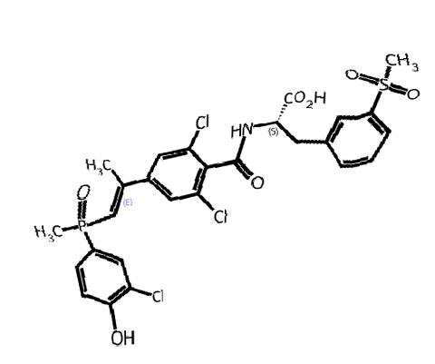 C/C(=C\P(C)(=O)c1ccc(O)c(Cl)c1)c1cc(Cl)c(C(=O)N[C@@H](Cc2cccc(S(C)(=O)=O)c2)C(=O)O)c(Cl)c1